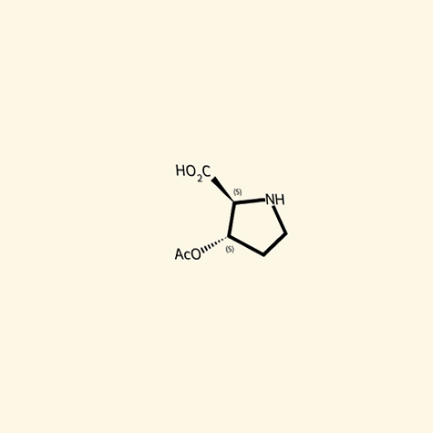 CC(=O)O[C@H]1CCN[C@@H]1C(=O)O